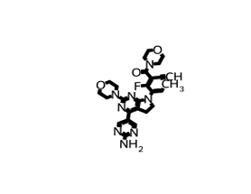 C#C/C(C(=O)N1CCOCC1)=C(F)\C(=C/C)N1CCc2c(-c3cnc(N)nc3)nc(N3CCOCC3)nc21